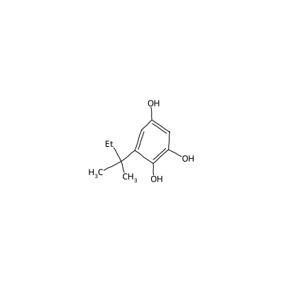 CCC(C)(C)c1cc(O)cc(O)c1O